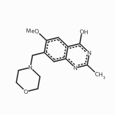 COc1cc2c(O)nc(C)nc2cc1CN1CCOCC1